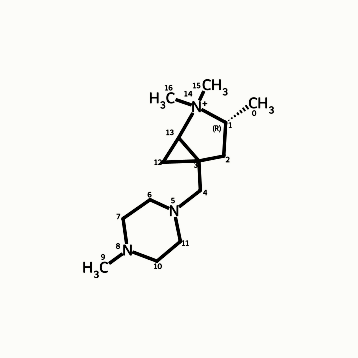 C[C@@H]1CC2(CN3CCN(C)CC3)CC2[N+]1(C)C